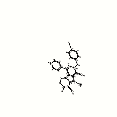 CN1CCn2c(c(O)c3c(=O)n(Cc4ccc(F)cc4)nc(-c4ccncc4)c32)C1=O